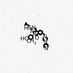 CC1(O)CCC(n2c(=O)c3cc(CN4CCN(c5ccncc5)CC4)ccc3c3cnc(NCC4CC4)nc32)CC1